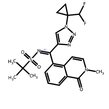 Cn1ccc2c(/C(=N\S(=O)(=O)C(C)(C)C)c3cn(C4(C(F)F)CC4)nn3)cccc2c1=O